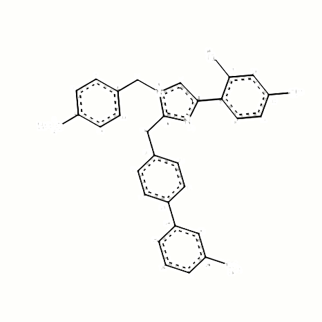 O=C(O)c1ccc(Cn2cc(-c3ccc(Cl)cc3Cl)nc2Cc2ccc(-c3cccc(C(F)(F)F)c3)cc2)cc1